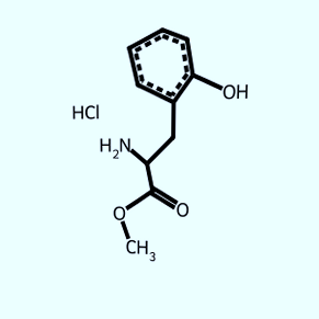 COC(=O)C(N)Cc1ccccc1O.Cl